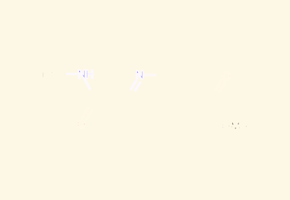 COC(=O)c1ccc(C(=O)NC(C)C)nc1